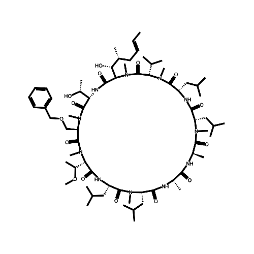 C/C=C/C[C@@H](C)[C@@H](O)C1C(=O)N[C@@H]([C@@H](C)O)C(=O)N(C)[C@H](COCc2ccccc2)C(=O)N(C)[C@@H](C(C)OC)C(=O)N[C@@H](CC(C)C)C(=O)N(C)[C@@H](CC(C)C)C(=O)N[C@@H](C)C(=O)N[C@H](C)C(=O)N(C)[C@@H](CC(C)C)C(=O)N[C@@H](CC(C)C)C(=O)N(C)[C@@H](C(C)C)C(=O)N1C